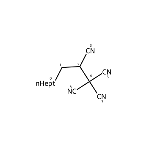 CCCCCCCCC(C#N)C(C#N)(C#N)C#N